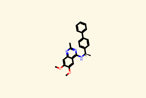 COc1cc2nc(C)nc(N[C@H](C)c3ccc(-c4ccccc4)cc3)c2cc1OC